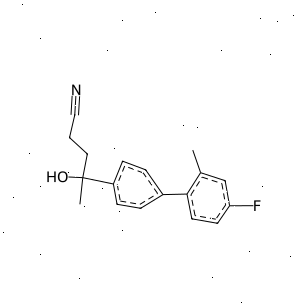 Cc1cc(F)ccc1-c1ccc(C(C)(O)CCC#N)cc1